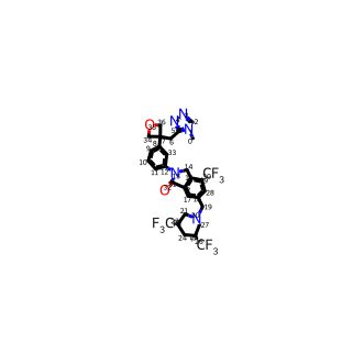 Cn1cnnc1CC1(c2cccc(N3Cc4c(cc(CN5C[C@@H](C(F)(F)F)C[C@H](C(F)(F)F)C5)cc4C(F)(F)F)C3=O)c2)COC1